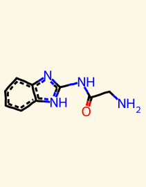 NCC(=O)Nc1nc2ccccc2[nH]1